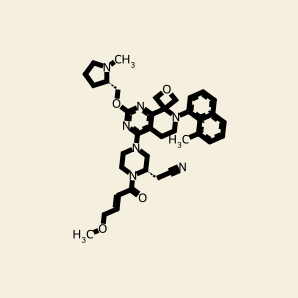 COC/C=C/C(=O)N1CCN(c2nc(OC[C@@H]3CCCN3C)nc3c2CCN(c2cccc4cccc(C)c24)C32COC2)C[C@@H]1CC#N